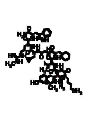 CNC(=N)NCCC[C@H](NC(=O)[C@H](CC1CC1)NC(=O)CNC(=O)[C@H](CC1CCCCC1)NC(=O)[C@@H](NC(=O)[C@H](CC(N)=O)NC(=O)[C@H](CCCCN)NC(=O)[C@@H](Cc1ccc(O)cc1)NC(C)=O)[C@@H](C)I)C(=O)N[C@@H](Cc1c[nH]c2ccccc12)C(N)=O